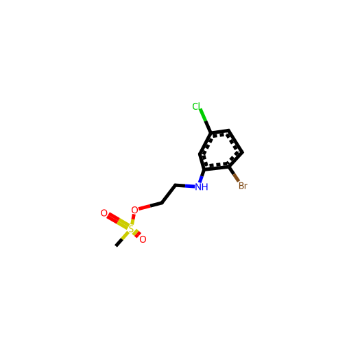 CS(=O)(=O)OCCNc1cc(Cl)ccc1Br